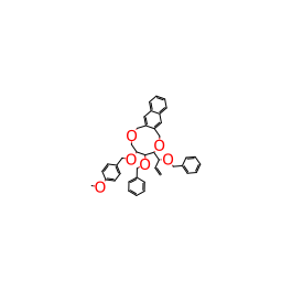 C=C[C@@H](OCc1ccccc1)C1OCc2cc3ccccc3cc2COCC(OCc2ccc(OC)cc2)[C@@H]1OCc1ccccc1